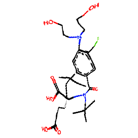 CC(C)(C)N(C(=O)c1ccc(N(CCO)CCO)c(F)c1)[C@@](CCC(=O)O)(C(=O)O)C(C)(C)C